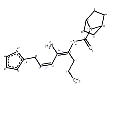 CCC/C(NC(=O)N1C2CCC1CC2)=C(N)\C=C/Cc1cccs1